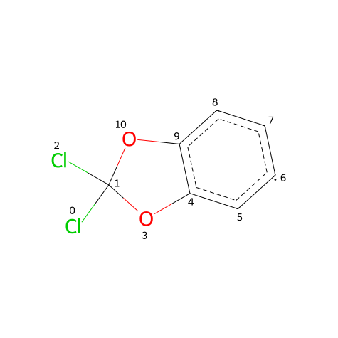 ClC1(Cl)Oc2c[c]ccc2O1